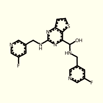 OC(NCc1cncc(F)c1)c1nc(NCc2cncc(F)c2)nc2ccsc12